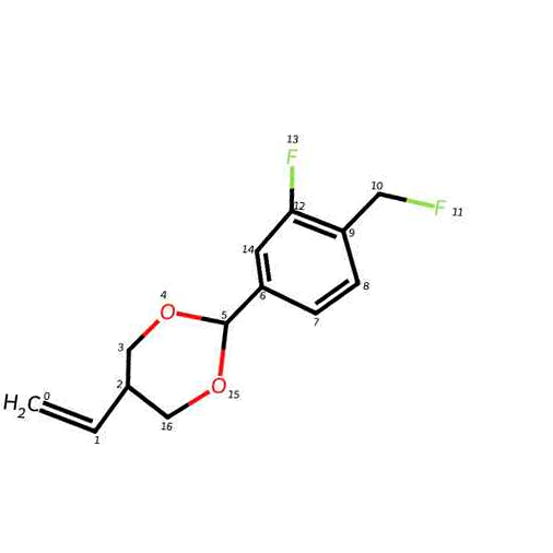 C=CC1COC(c2ccc(CF)c(F)c2)OC1